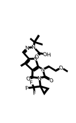 COCCn1c(=O)n(C2(C(F)(F)F)CC2)c(=O)c2c(C)c(/C=N\N(C(=O)O)C(C)(C)C)sc21